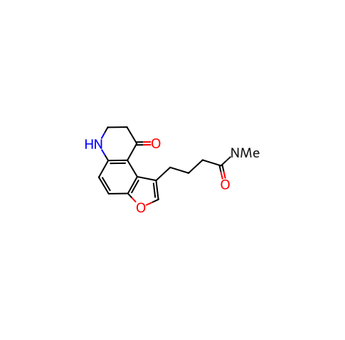 CNC(=O)CCCc1coc2ccc3c(c12)C(=O)CCN3